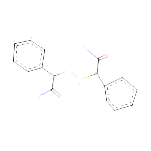 NC(=O)C(SSC(C(N)=O)c1ccccc1)c1ccccc1